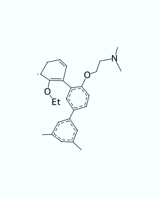 CCOC1=C(c2cc(-c3cc(C)cc(C)c3)ccc2OCCN(C)C)C=CC[CH]1